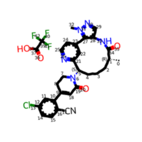 C[C@@H]1CCC[C@H](N2CCC(c3cc(Cl)ccc3C#N)=CC2=O)c2cc(ccn2)-c2c(cnn2C)NC1=O.O=C(O)C(F)(F)F